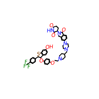 O=C1CCC(N2Cc3cc(N4CCN(CC5CCN(CCOc6ccc(OC7c8ccc(O)cc8SC7c7ccc(C(F)(F)F)cc7)cc6)CC5)CC4)ccc3C2=O)C(=O)N1